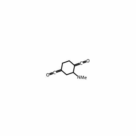 CNC1CC(=C=O)CCC1=C=O